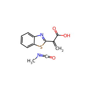 C=C(C(=O)O)c1nc2ccccc2s1.CN=C=O